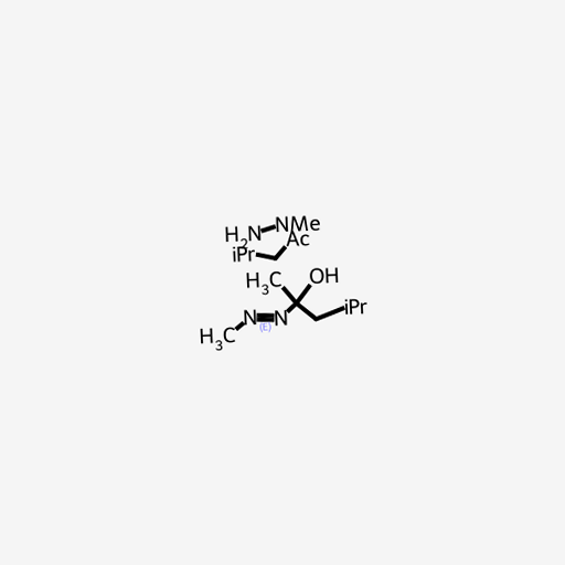 C/N=N/C(C)(O)CC(C)C.CC(=O)CC(C)C.CNN